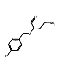 NCC[C@@H](C=O)OCc1ccc(Cl)cc1